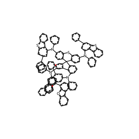 c1ccc(-c2cc(N(c3ccccc3)c3ccc4c(c3)Sc3cc(N(c5ccccc5)c5cc(-c6ccccc6)cc6sc7ccccc7c56)ccc3C43c4ccc(N(c5ccccc5)c5cc(-c6cccc7c6oc6ccccc67)c6sc7ccccc7c6c5)cc4-c4c(N(c5ccccc5)c5cc(-c6ccccc6)c6oc7ccccc7c6c5)cccc43)c3c(c2)sc2ccccc23)cc1